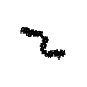 Cn1c2ccncc2c2ccc(-c3ccc(OC4CC(OC5CCN(c6ccnc(C#CC(F)(F)Oc7ccc8c(c7)CN(C7CCC(=O)NC7=O)C8=O)c6)CC5)C4)nc3)cc21